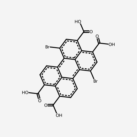 O=C(O)c1ccc2c3c(Br)cc(C(=O)O)c4c(C(=O)O)cc(Br)c(c5ccc(C(=O)O)c1c25)c43